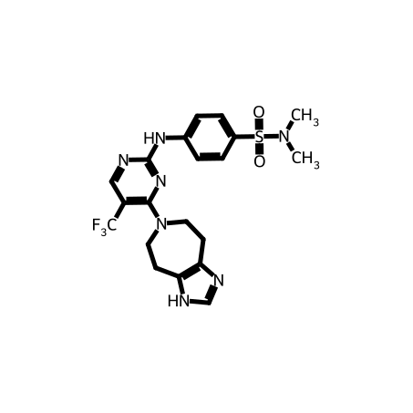 CN(C)S(=O)(=O)c1ccc(Nc2ncc(C(F)(F)F)c(N3CCc4nc[nH]c4CC3)n2)cc1